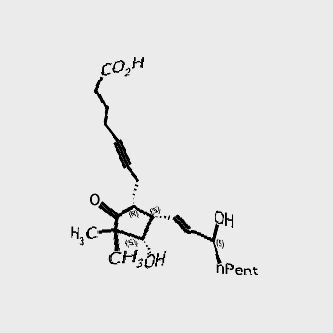 CCCCC[C@H](O)C=C[C@H]1[C@@H](CC#CCCCC(=O)O)C(=O)C(C)(C)[C@H]1O